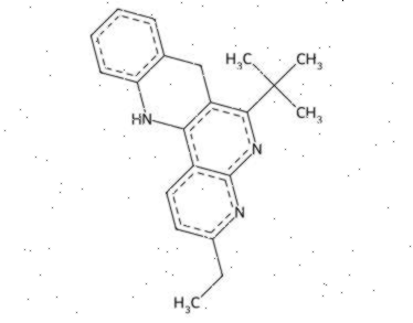 CCc1ccc2c3c(c(C(C)(C)C)nc2n1)Cc1ccccc1N3